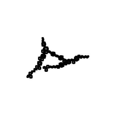 C=CC(=O)OCCCCCCOc1ccc(C(=O)Oc2ccc(CC(=O)c3ccc(OCCCCCC)cc3)cc2C#Cc2ccc(C#Cc3ccc(C#CC4(OC(=O)c5ccc(OC(=O)C6CCC(C(=O)OCCCCCOC(=O)C=C)CC6)cc5)CCC(C5CCC(CCC)CC5)CC4)cc3)cc2)cc1